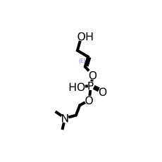 CN(C)CCOP(=O)(O)O/C=C/CO